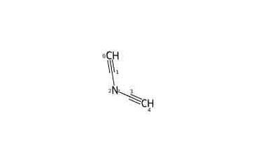 C#C[N]C#C